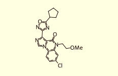 COCCn1c(=O)c2c(-c3noc(C4CCCC4)n3)ncn2c2ccc(Cl)cc21